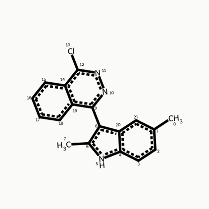 Cc1ccc2[nH]c(C)c(-c3nnc(Cl)c4ccccc34)c2c1